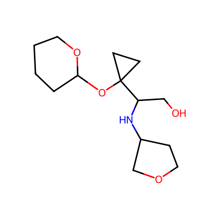 OCC(NC1CCOC1)C1(OC2CCCCO2)CC1